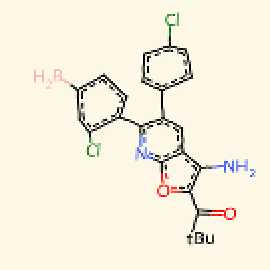 Bc1ccc(-c2nc3oc(C(=O)C(C)(C)C)c(N)c3cc2-c2ccc(Cl)cc2)c(Cl)c1